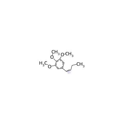 CC/C=C\c1cc(OC)c(OC)c(OC)c1